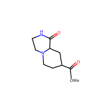 COC(=O)C1CCN2CCNC(=O)C2C1